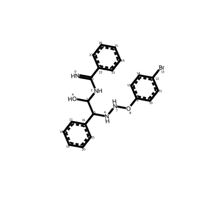 N=C(NC(O)C(NNOc1ccc(Br)cc1)c1ccccc1)c1ccccc1